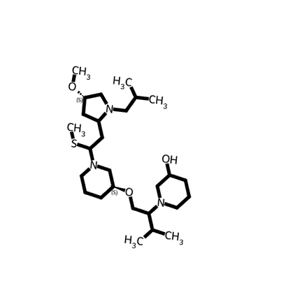 CO[C@H]1CC(CC(SC)N2CCC[C@H](OCC(C(C)C)N3CCCC(O)C3)C2)N(CC(C)C)C1